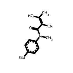 C/C(O)=C(\C#N)C(=O)N(C)c1ccc(C(C)(C)C)cc1